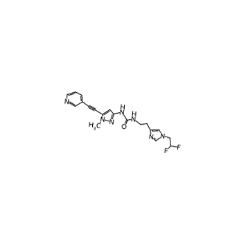 Cn1nc(NC(=O)NCCc2cn(CC(F)F)cn2)cc1C#Cc1cccnc1